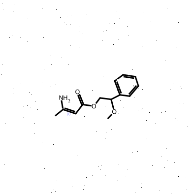 COC(COC(=O)/C=C(/C)N)c1ccccc1